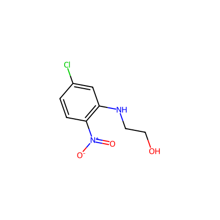 O=[N+]([O-])c1ccc(Cl)cc1NCCO